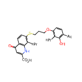 CCCc1c(OCCCSc2ccc3c(=O)cc(C(=O)O)[nH]c3c2CCC)ccc(C(C)=O)c1O